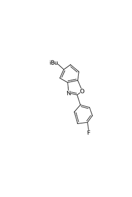 CCC(C)c1ccc2oc(-c3ccc(F)cc3)nc2c1